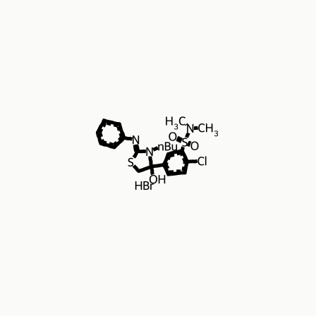 Br.CCCCN1C(=Nc2ccccc2)SCC1(O)c1ccc(Cl)c(S(=O)(=O)N(C)C)c1